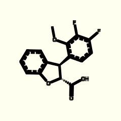 COc1c([C@@H]2c3ccccc3O[C@H]2C(=O)O)ccc(F)c1F